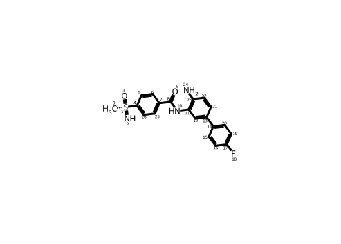 C[S@](=N)(=O)c1ccc(C(=O)Nc2cc(-c3ccc(F)cc3)ccc2N)cc1